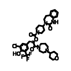 O=C(O[C@H](Cc1cc(Cl)c(O)c(C(F)(F)F)c1)C(=O)N1CCCN(C2CCOCC2)CC1)N1CCC(N2CCc3ccccc3NC2=O)CC1